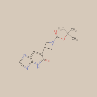 CC(C)(C)OC(=O)N1CC(c2cc3nccnc3[nH]c2=O)C1